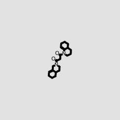 O=C(CC(=O)N1CCCC2CCCC=C21)N1CCC2CCCC=C2C1